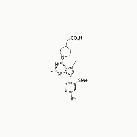 CSc1cc(C(C)C)ccc1-n1cc(C)c2c(N3CCC(CC(=O)O)CC3)nc(C)nc21